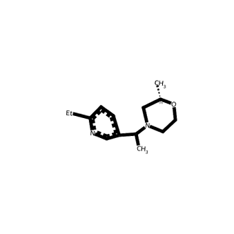 CCc1ccc(C(C)N2CCO[C@@H](C)C2)cn1